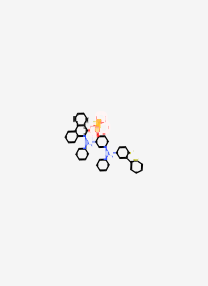 O=S(=O)(Oc1ccc(N(c2ccccc2)c2ccc3sc4ccccc4c3c2)cc1N(c1ccccc1)c1cc2ccccc2c2ccccc12)C(F)(F)F